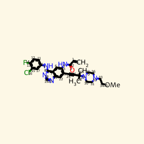 C=CC(=O)Nc1cc2c(Nc3ccc(F)c(Cl)c3)ncnc2cc1C#CC(C)(C)N1CCN(CCOC)CC1